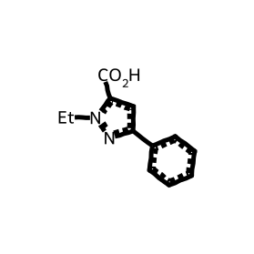 CCn1nc(-c2ccccc2)cc1C(=O)O